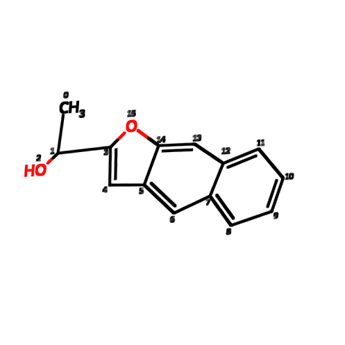 CC(O)c1cc2cc3ccccc3cc2o1